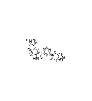 Cn1cc(-c2cc3c(-c4cc(N5CCc6oncc6C5)ncn4)n[nH]c3cc2F)cn1